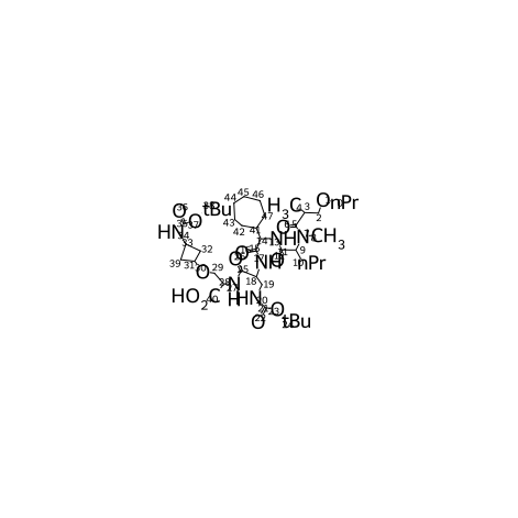 CCCOCC(C)C(=O)N(C)C(CCC)C(=O)NC(C(=O)NC(CNC(=O)OC(C)(C)C)C(=O)NC(COC1CC(NC(=O)OC(C)(C)C)C1)C(=O)O)C1CCCCCC1